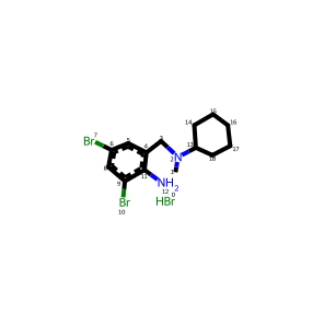 Br.CN(Cc1cc(Br)cc(Br)c1N)C1CCCCC1